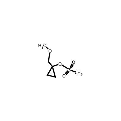 COCC1(OS(C)(=O)=O)CC1